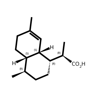 CC1=C[C@H]2[C@@H](CC1)[C@H](C)CC[C@H]2[C@@H](C)C(=O)O